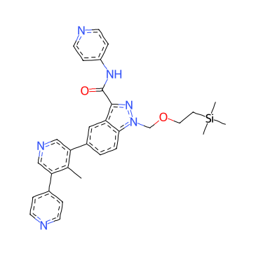 Cc1c(-c2ccncc2)cncc1-c1ccc2c(c1)c(C(=O)Nc1ccncc1)nn2COCC[Si](C)(C)C